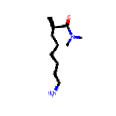 C=C(CCCCCCN)C(=O)N(C)C